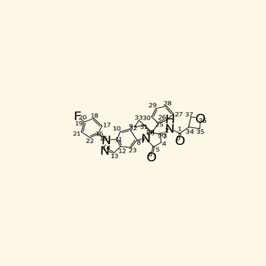 O=C(N[C@@H]1CC(=O)N(c2ccc3c(cnn3-c3ccc(F)cc3)c2)[C@@]1(c1ccccc1)C1CC1)C1COC1